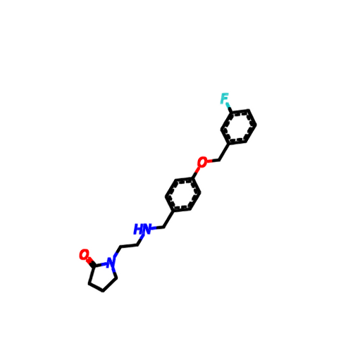 O=C1CCCN1CCNCc1ccc(OCc2cccc(F)c2)cc1